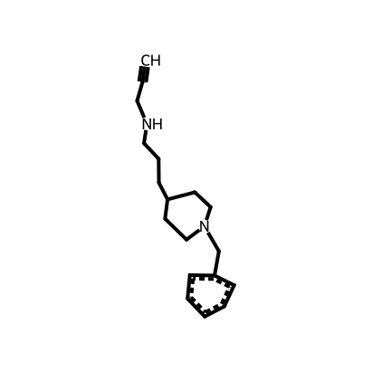 C#CCNCCCC1CCN(Cc2ccccc2)CC1